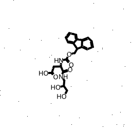 O=C(O)CC(NC(=O)OCC1c2ccccc2-c2ccccc21)C(=O)NCC(O)CO